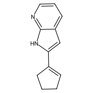 C1=C(c2cc3cccnc3[nH]2)CCC1